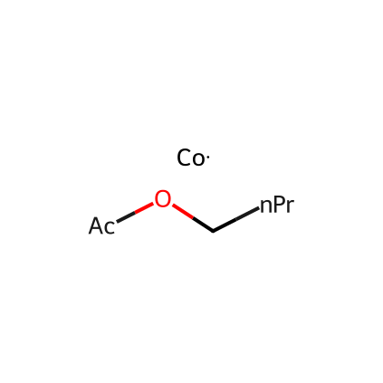 CCCCOC(C)=O.[Co]